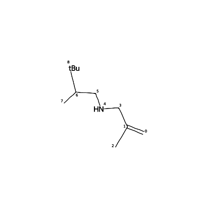 C=C(C)CNCC(C)C(C)(C)C